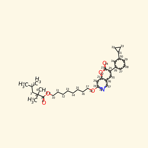 CC(C)CC(C)(C)C(=O)OCCCCCCCCOc1cc2oc(=O)c(-c3cccc(C4CC4)c3)cc2cn1